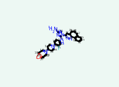 Nc1nc(Nc2ccc(N3CCC(N4CCOCC4)CC3)c(F)c2)n(-c2cc3c(nn2)-c2ccccc2CCC3)n1